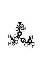 Cc1nn(C2CCN([C@H](C)c3cc(Cl)cc(Cl)c3)CC2)c2cc(F)c(C(=O)NS(=O)(=O)C3CC3)cc12.O=C(O)C(F)(F)F